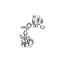 C[C@@H](C(=O)Nc1ccc(-c2cc3cc(NC(=O)[C@H]4CCCN4C(=O)[C@@H](c4ccccc4)N(C)C)ccc3[nH]2)cc1)N(C(=O)O)C(C)(C)C